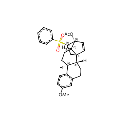 COc1ccc2c(c1)CC[C@@H]1[C@@H]2CC[C@@]2(C)[C@]13C=C[C@]2(OC(C)=O)[C@H](S(=O)(=O)c1ccccc1)C3